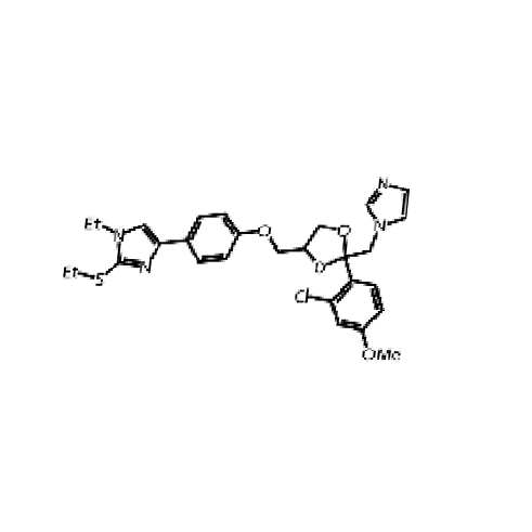 CCSc1nc(-c2ccc(OCC3COC(Cn4ccnc4)(c4ccc(OC)cc4Cl)O3)cc2)cn1CC